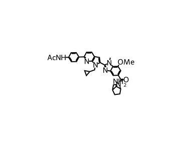 COc1cc(C(=O)N2CC3CCC2C3N)cc2nc(-c3cc4ccc(-c5ccc(NC(C)=O)cc5)nc4n3CC3CC3)n(C)c12